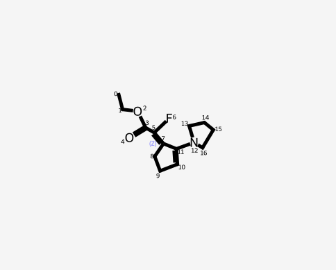 CCOC(=O)/C(F)=C1\CCC=C1N1CCCC1